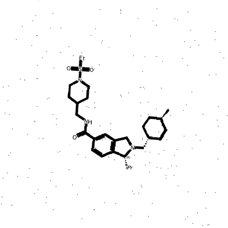 CCS(=O)(=O)N1CCC(CNC(=O)c2ccc3c(c2)CN(C[C@H]2CC[C@H](C)CC2)[C@@H]3C(C)C)CC1